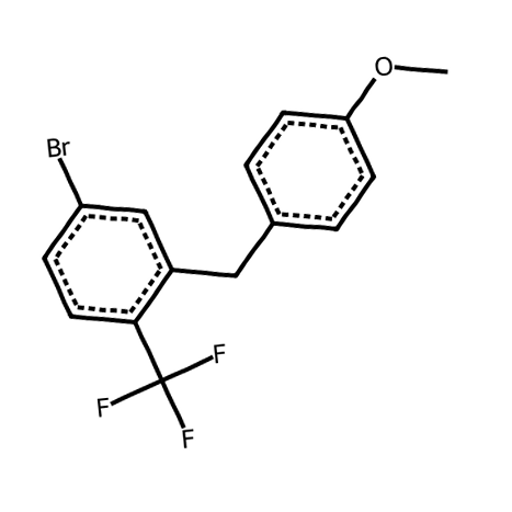 COc1ccc(Cc2cc(Br)ccc2C(F)(F)F)cc1